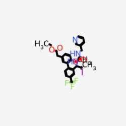 CCOC(=O)Cc1ccc(OC)c(-c2ccc(C(F)(F)F)cc2C(NC(=O)NCc2cccnc2)C(C)I)c1